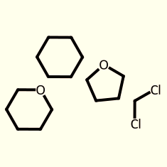 C1CCCCC1.C1CCOC1.C1CCOCC1.ClCCl